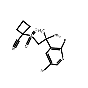 C[C@](N)(CS(=O)(=O)C1(C#N)CCC1)c1cc(Br)cnc1F